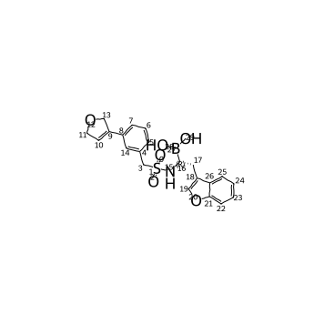 O=S(=O)(Cc1cccc(C2=CCOC2)c1)N[C@@H](Cc1coc2ccccc12)B(O)O